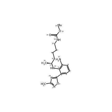 Cc1noc(-c2cccc(N)c2N[C@@H](C)CCCCNC(=O)OC(C)(C)C)n1